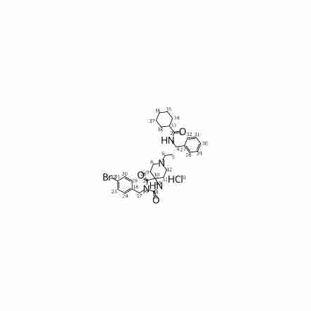 Cl.O=C(N[C@@H](CCN1CCC2(CC1)NC(=O)N(Cc1ccc(Br)cc1)C2=O)c1ccccc1)C1CCCCC1